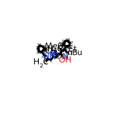 C=C(CC1=NN=C(c2c(O)nc(CCCC)c(-c3c(CC)cccc3OC)c2C)C1)NCC1=C(C)CCC=C1